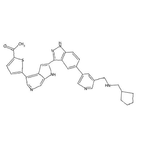 CC(=O)c1ccc(-c2cncc3[nH]c(-c4n[nH]c5ccc(-c6cncc(CNCC7CCCC7)c6)cc45)cc23)s1